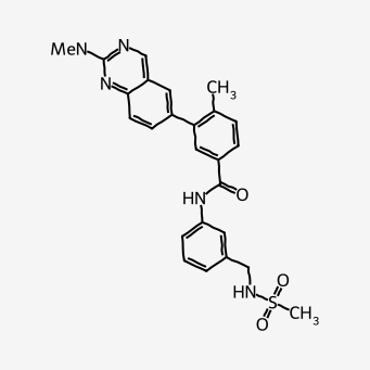 CNc1ncc2cc(-c3cc(C(=O)Nc4cccc(CNS(C)(=O)=O)c4)ccc3C)ccc2n1